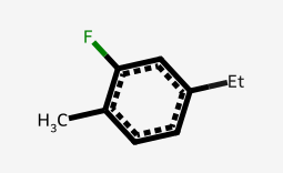 CCc1ccc(C)c(F)c1